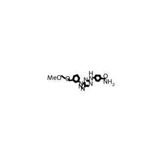 COCCOCc1cccc(-n2nnc3cnc(Nc4ccc(C(N)=O)cc4)nc32)c1